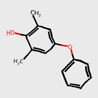 Cc1cc(Oc2ccccc2)cc(C)c1O